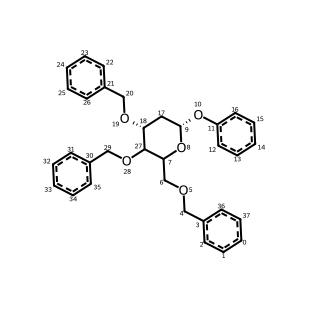 c1ccc(COCC2O[C@@H](Oc3ccccc3)C[C@@H](OCc3ccccc3)C2OCc2ccccc2)cc1